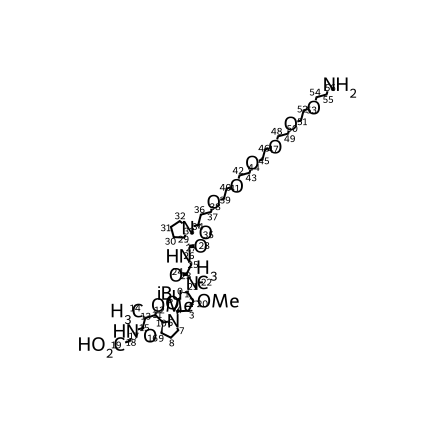 CC[C@H](C)[C@@H]([C@@H](CC(=O)N1CCC[C@H]1[C@H](OC)[C@@H](C)C(=O)NCC(=O)O)OC)N(C)C(=O)CNC(=O)[C@@H]1CCCN1C(=O)CCOCCOCCOCCOCCOCCOCCN